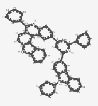 c1ccc(-c2nc(-c3ccc4nc(-c5ccccc5)c5ccc6oc7ccccc7c6c5c4c3)cc(-c3ccc4c(c3)c3ccccc3n4-c3ccccc3)n2)cc1